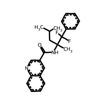 CC(C)CC(C)(NC(=O)c1cnc2ccccc2c1)C(F)(F)c1ccccc1